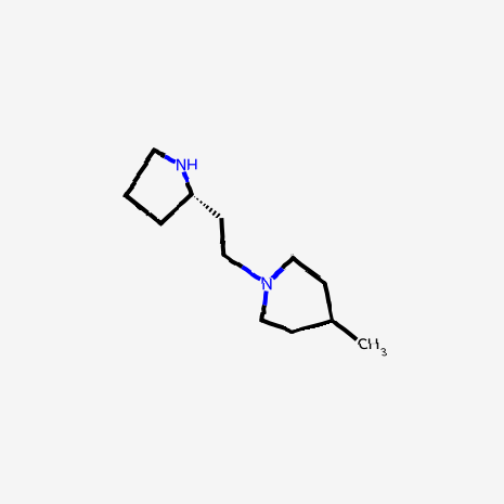 CC1CCN(CC[C@@H]2CCCN2)CC1